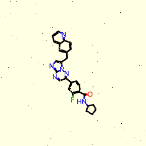 O=C(NC1CCCC1)c1ccc(-c2cnc3ncc(Cc4ccc5ncccc5c4)n3n2)cc1F